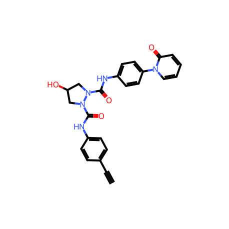 C#Cc1ccc(NC(=O)N2CC(O)CN2C(=O)Nc2ccc(-n3ccccc3=O)cc2)cc1